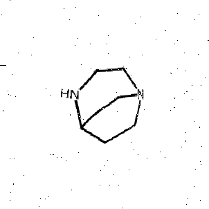 [CH]1CNC2CCN1CC2